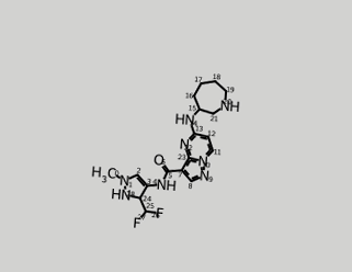 CN1C=C(NC(=O)c2cnn3ccc(NC4CCCCNC4)nc23)C(C(F)F)N1